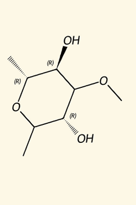 COC1[C@H](O)C(C)O[C@H](C)[C@H]1O